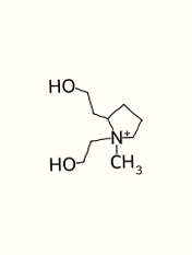 C[N+]1(CCO)CCCC1CCO